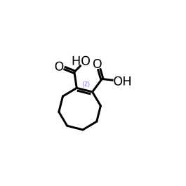 O=C(O)/C1=C(\C(=O)O)CCCCCC1